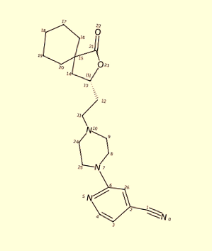 N#Cc1ccnc(N2CCN(CC[C@@H]3CC4(CCCCC4)C(=O)O3)CC2)c1